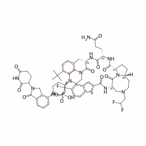 CC(C)(C)c1ccc(C[C@H](NC(=O)[C@H](CCC(N)=O)NC(=O)[C@@H]2CC[C@@H]3CCN(CC(F)F)C[C@H](NC(=O)c4cc5cc(C(F)(F)P(=O)(O)O)ccc5s4)C(=O)N32)C(=O)N2CCN(C3CCN(c4cccc5c4CN(C4CCC(=O)NC4=O)C5=O)CC3)CC2)cc1